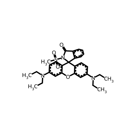 CCN(CC)c1ccc2c(c1)Oc1cc(N(CC)CC)ccc1C21c2ccccc2C(=O)N1S(C)(=O)=O